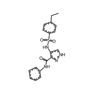 CCc1ccc(S(=O)(=O)Nc2c[nH]nc2C(=O)Nc2ccccc2)cc1